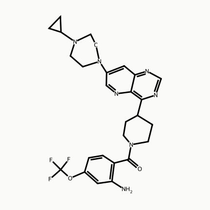 Nc1cc(OC(F)(F)F)ccc1C(=O)N1CCC(c2ncnc3cc(N4CCN(C5CC5)CC4)cnc23)CC1